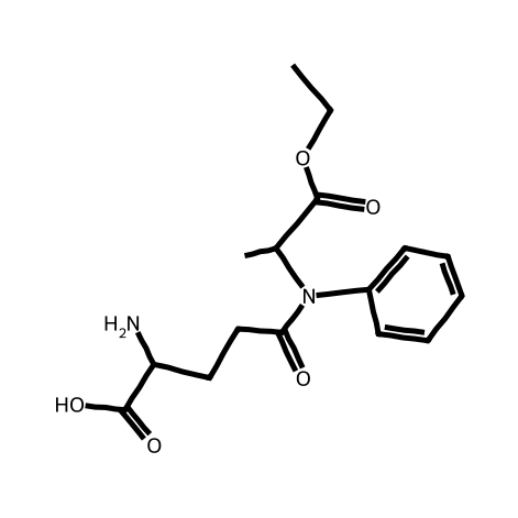 CCOC(=O)C(C)N(C(=O)CCC(N)C(=O)O)c1ccccc1